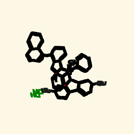 CC1=Cc2c(-c3cccc4ccccc34)cccc2[CH]1[Zr](=[SiH2])([c]1ccccc1)([c]1ccccc1)[CH]1c2cc(C(C)(C)C)ccc2-c2ccc(C(C)(C)C)cc21.Cl.Cl